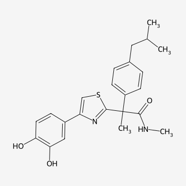 CNC(=O)C(C)(c1ccc(CC(C)C)cc1)c1nc(-c2ccc(O)c(O)c2)cs1